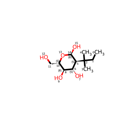 CCC(C)(C)[C@H]1[C@H](O)[C@@H](O)[C@H](CO)O[C@H]1O